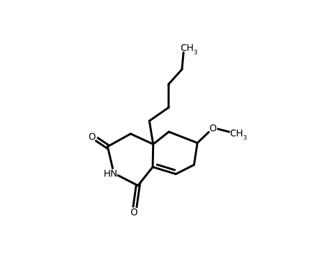 CCCCCC12CC(=O)NC(=O)C1=CCC(OC)C2